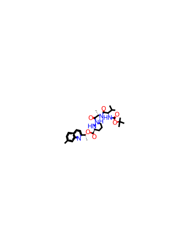 Cc1ccc2ccc([C@@H](C)OC(=O)[C@@H]3CCCN(C(=O)[C@H](C)NC(=O)[C@@H](NC(=O)OC(C)(C)C)C(C)C)N3)nc2c1